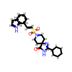 O=C1NC(C2CCCCC2)=NC12CCN(S(=O)(=O)C=Cc1cccc3cc[nH]c13)CC2